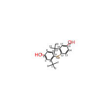 CC(C)(C)c1cc(O)ccc1Sc1ccc(O)cc1C(C)(C)C